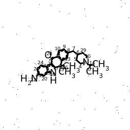 CC(C)N1CCC(Cc2ccc3c(c2)C(C)(C)c2[nH]c4cc(N)ccc4c2C3=O)CC1